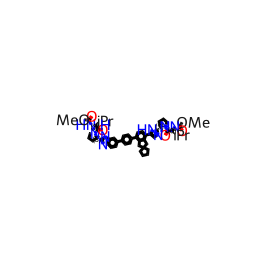 COC(=O)N[C@H](C(=O)N1CCC[C@H]1c1ncc(-c2ccc(-c3ccc(-c4ccc5nc([C@@H]6CCCN6C(=O)[C@@H](NC(=O)OC)C(C)C)[nH]c5c4)cc3)c3c2CC2(CCCC2)C3)[nH]1)C(C)C